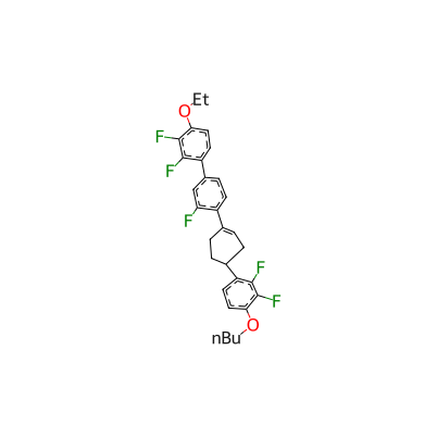 CCCCOc1ccc(C2CC=C(c3ccc(-c4ccc(OCC)c(F)c4F)cc3F)CC2)c(F)c1F